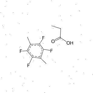 CCC(=O)O.Cc1c(F)c(F)c(C)c(F)c1F